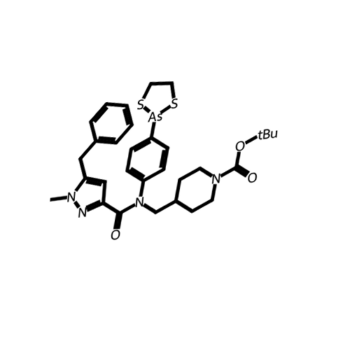 Cn1nc(C(=O)N(CC2CCN(C(=O)OC(C)(C)C)CC2)c2ccc([As]3SCCS3)cc2)cc1Cc1ccccc1